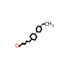 CC[C@H]1CC[C@H](C2CCC(CCC=CC=O)CC2)CC1